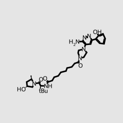 C[C@@H]1C[C@@H](O)CN1C(=O)[C@@H](NC(=O)CCCCCCCCC(=O)N1CCN(c2cc(-c3ccccc3O)nnc2N)CC1)C(C)(C)C